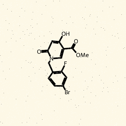 COC(=O)c1cn(Cc2ccc(Br)cc2F)c(=O)cc1O